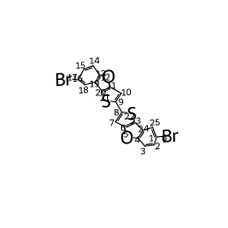 Brc1ccc2oc3cc(-c4cc5oc6ccc(Br)cc6c5s4)sc3c2c1